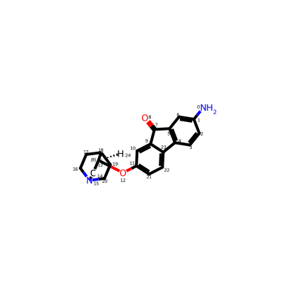 Nc1ccc2c(c1)C(=O)c1cc(O[C@H]3CN4CCC3CC4)ccc1-2